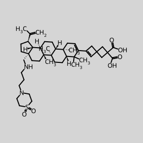 C=C(C)[C@@H]1CC[C@]2(CNCCCN3CCS(=O)(=O)CC3)CC[C@]3(C)[C@H](CC[C@@H]4[C@@]5(C)CC=C(C6=CC7(C6)CC(C(=O)O)(C(=O)O)C7)C(C)(C)[C@@H]5CC[C@]43C)[C@@H]12